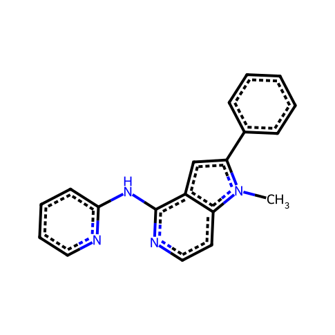 Cn1c(-c2ccccc2)cc2c(Nc3ccccn3)nccc21